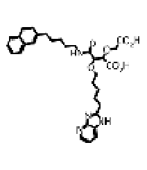 O=C(O)COC(C(=O)O)C(OCCCCCc1nc2ncccc2[nH]1)C(=O)NCCCCCc1ccc2ccccc2c1